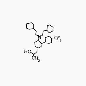 C=C(O)C[C@@H]1CC[C@@H](N(CCC2CCCCC2)CCC2CCCCC2)[C@H]([C@H]2CC[C@@H](C(F)(F)F)CC2)C1